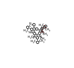 CSN1c2cc3c(cc2B2c4cc5c(cc4N(SC)c4cc(-c6c(C)cccc6C)cc1c42)N(SC)c1cc(-c2c(C)cccc2C)cc2c1B5c1ccccc1N2c1ccccc1)B1c2ccccc2N(c2ccccc2)c2cc(-c4c(C)cccc4C)cc(c21)N3